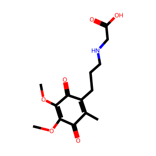 COC1=C(OC)C(=O)C(CCCNCC(=O)O)=C(C)C1=O